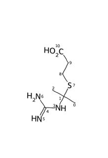 CC(C)(NC(=N)N)SCCC(=O)O